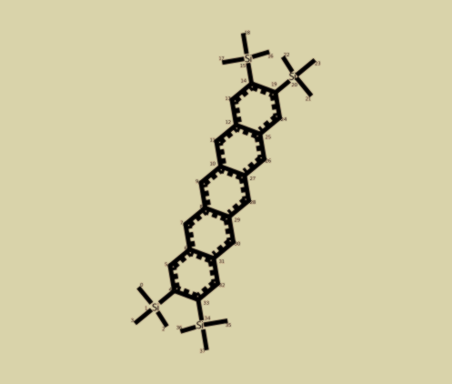 C[Si](C)(C)c1cc2cc3cc4cc5cc([Si](C)(C)C)c([Si](C)(C)C)cc5cc4cc3cc2cc1[Si](C)(C)C